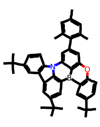 Cc1cc(C)c(-c2cc3c4c(c2)-n2c5ccc(C(C)(C)C)cc5c5cc(C(C)(C)C)cc(c52)B4c2cc(C(C)(C)C)ccc2O3)c(C)c1